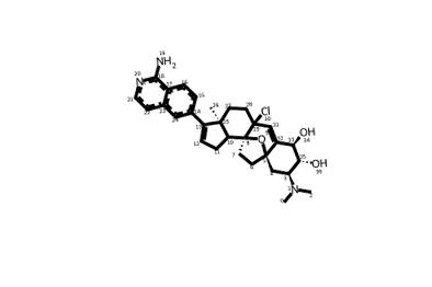 CN(C)[C@H]1C[C@@]23CC[C@]4(O2)C2CC=C(c5ccc6c(N)nccc6c5)[C@@]2(C)CCC4(Cl)C=C3[C@@H](O)[C@@H]1O